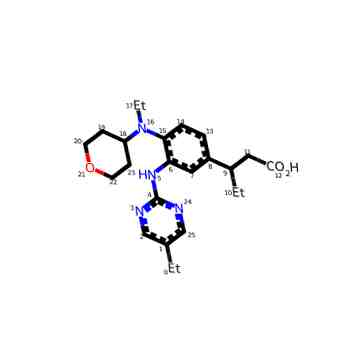 CCc1cnc(Nc2cc(C(CC)CC(=O)O)ccc2N(CC)C2CCOCC2)nc1